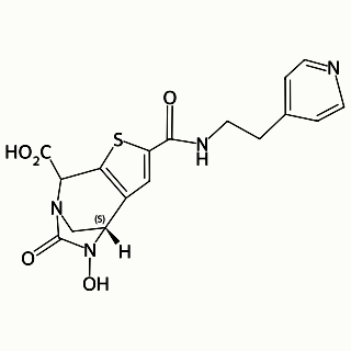 O=C(NCCc1ccncc1)c1cc2c(s1)C(C(=O)O)N1C[C@H]2N(O)C1=O